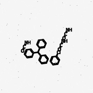 Clc1ccccc1.N=C=O.N=C=O.N=C=O.c1ccc(C(c2ccccc2)c2ccccc2)cc1